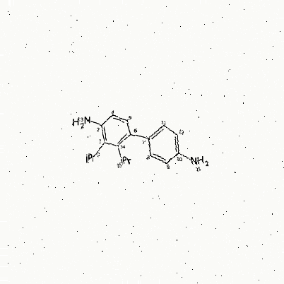 CC(C)c1c(N)ccc(-c2ccc(N)cc2)c1C(C)C